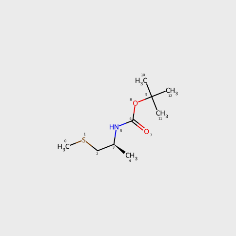 CSC[C@H](C)NC(=O)OC(C)(C)C